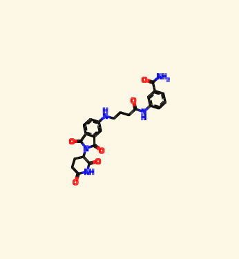 NC(=O)c1cccc(NC(=O)CCCNc2ccc3c(c2)C(=O)N(C2CCC(=O)NC2=O)C3=O)c1